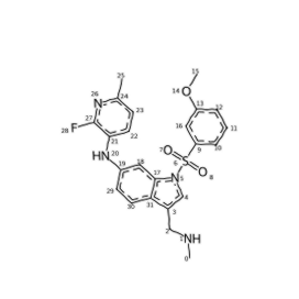 CNCc1cn(S(=O)(=O)c2cccc(OC)c2)c2cc(Nc3ccc(C)nc3F)ccc12